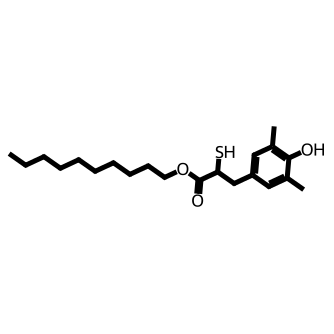 CCCCCCCCCCOC(=O)C(S)Cc1cc(C)c(O)c(C)c1